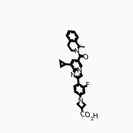 C[C@@H]1c2ccccc2CCN1C(=O)c1cc(C2CC2)c2nc(-c3ccc(N4CC(C(=O)O)C4)cc3F)cn2c1